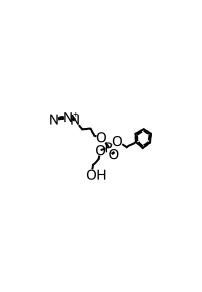 [N-]=[N+]=NCCCOP(=O)(OCCO)OCc1ccccc1